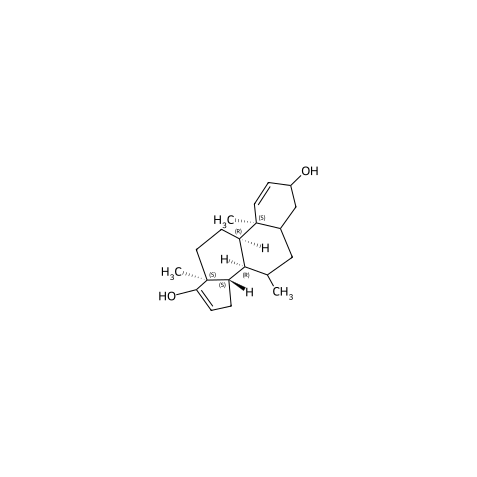 CC1CC2CC(O)C=C[C@]2(C)[C@@H]2CC[C@]3(C)C(O)=CC[C@H]3[C@H]12